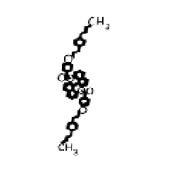 CCCCCC1CCC(CCCOc2ccc(C(=O)Oc3ccc4ccccc4c3-c3c(OC(=O)c4ccc(OCCCC5CCC(CCCCC)CC5)cc4)ccc4ccccc34)cc2)CC1